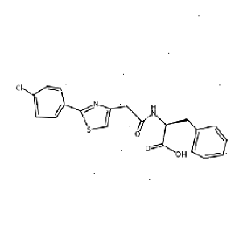 O=C(Cc1csc(-c2ccc(Cl)cc2)n1)N[C@@H](Cc1ccccc1)C(=O)O